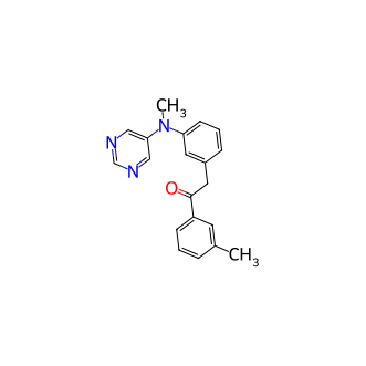 Cc1cccc(C(=O)Cc2cccc(N(C)c3cncnc3)c2)c1